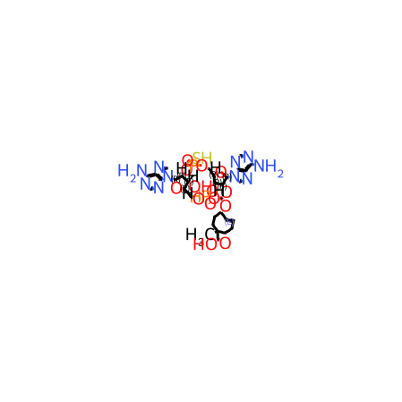 CC1(C(=O)O)CC/C=C/C(OC(=O)O[C@@H]2[C@@H]3O[PH](=O)OC[C@H]4O[C@@H](n5cnc6c(N)ncnc65)[C@H](OP(=O)(S)OC[C@H]3O[C@H]2n2cnc3c(N)ncnc32)[C@@H]4O)CC1